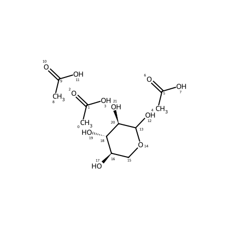 CC(=O)O.CC(=O)O.CC(=O)O.OC1OC[C@@H](O)[C@H](O)[C@H]1O